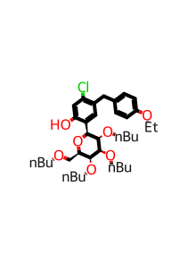 CCCCOC[C@H]1O[C@@H](c2cc(Cc3ccc(OCC)cc3)c(Cl)cc2O)[C@H](OCCCC)[C@@H](OCCCC)[C@@H]1OCCCC